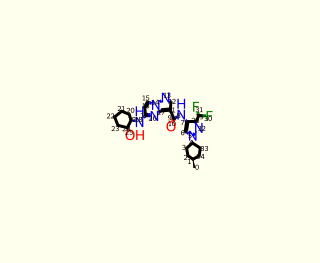 C[C@H]1CC[C@H](n2cc(NC(=O)c3cnn4ccc(N[C@@H]5CCCC[C@@H]5O)nc34)c(C(F)F)n2)CC1